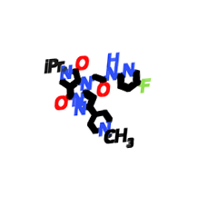 CC(C)N1Cc2c(n(CC(=O)Nc3ccc(F)cn3)c3cc(C4CCN(C)CC4)nn3c2=O)C1=O